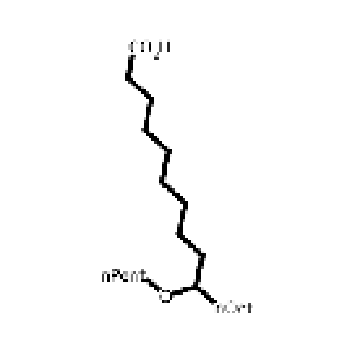 CCCCCCCCC(CCCCCCCCC(=O)O)OCCCCC